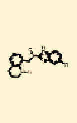 CCN1CCCc2cccc(C[S+]([O-])c3nc4cc(Cl)ccc4[nH]3)c21